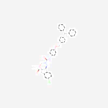 COC(=O)C12Cc3cc(Cl)ccc3C1=NN(C(=O)Nc1ccc(OCc3ccc(C(c4ccccc4)c4ccccc4)cc3)cc1)CO2